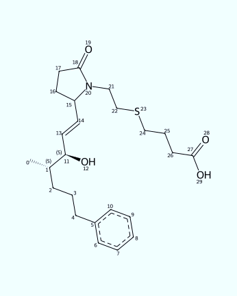 C[C@@H](CCCc1ccccc1)[C@H](O)C=CC1CCC(=O)N1CCSCCCC(=O)O